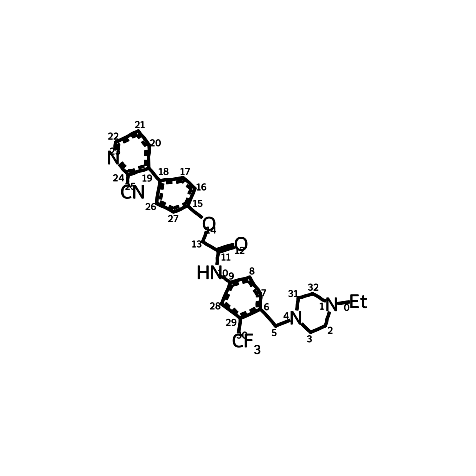 CCN1CCN(Cc2ccc(NC(=O)COc3ccc(-c4cccnc4C#N)cc3)cc2C(F)(F)F)CC1